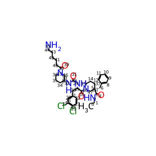 CCNC(=O)[C@]1(Cc2ccccc2)CCCN(C(=O)C(Cc2ccc(Cl)c(Cl)c2)NC(=O)N[C@@H]2CCCN(C(=O)CCCCCN)C2)C1